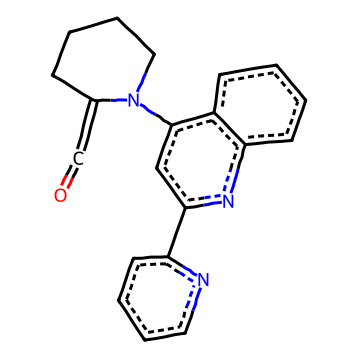 O=C=C1CCCCN1c1cc(-c2ccccn2)nc2ccccc12